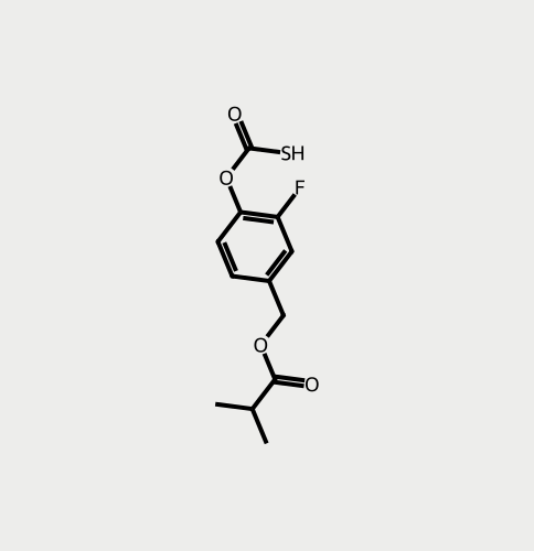 CC(C)C(=O)OCc1ccc(OC(=O)S)c(F)c1